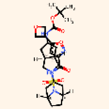 CC(C)(C)OC(=O)NC1C[C@@H]2CN(S(=O)(=O)N3[C@@H]4CC[C@H]3CC(NC(=O)c3cc(C5COC5)on3)C4)C[C@@H]2C1